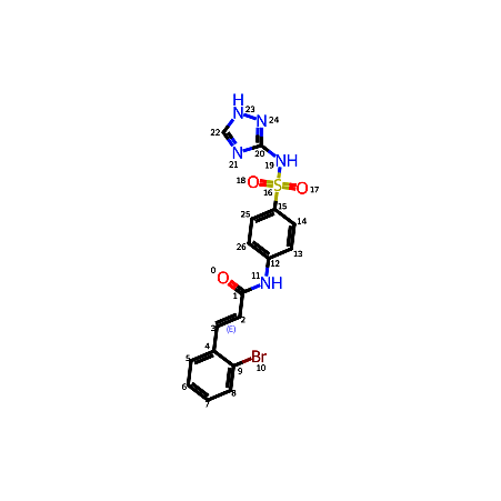 O=C(/C=C/c1ccccc1Br)Nc1ccc(S(=O)(=O)Nc2nc[nH]n2)cc1